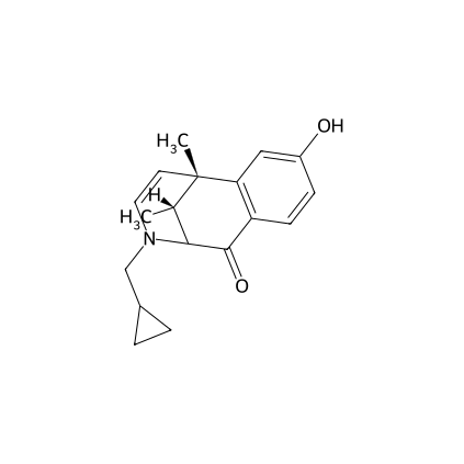 C[C@H]1C2C(=O)c3ccc(O)cc3[C@@]1(C)C=CN2CC1CC1